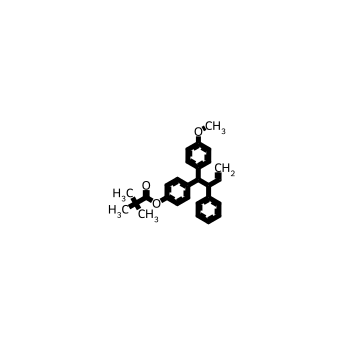 C=CC(c1ccccc1)C(c1ccc(OC)cc1)c1ccc(OC(=O)C(C)(C)C)cc1